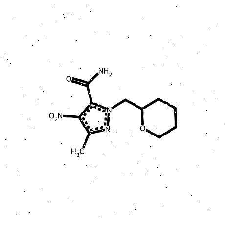 Cc1nn(CC2CCCCO2)c(C(N)=O)c1[N+](=O)[O-]